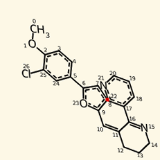 COc1ccc(-c2ccc(/C=C3/CCCN=C3c3cccnc3)o2)cc1Cl